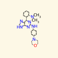 CN(C)c1ccccc1-c1nc(Nc2ccc(N3CCOCC3)cc2)nc2[nH]cnc12